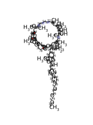 CCOCCOCCOCCN1CCN(c2ncc(CNC(=O)O[C@@H]3CC[C@@H](C[C@@H](N)[C@@H]4C[C@@H](OC)[C@H](C)/C=C(\C)[C@@H](O)[C@@H](O)C(=O)[C@H](C)C[C@H](C)/C=C/C=C/C=C(\C)[C@@H](OC)C[C@@H]5CC[C@@H](C)[C@@](O)(O5)C(=O)C(=O)N5CCCC[C@H]5C(=O)O4)C[C@H]3OC)cn2)CC1